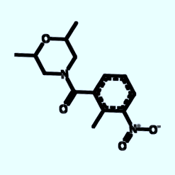 Cc1c(C(=O)N2CC(C)OC(C)C2)cccc1[N+](=O)[O-]